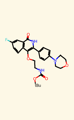 CC(C)(C)OC(=O)NCCOc1c(-c2ccc(N3CCOCC3)cc2)[nH]c(=O)c2cc(F)ccc12